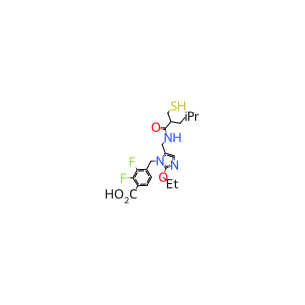 CCOc1ncc(CNC(=O)C(CS)CC(C)C)n1Cc1ccc(C(=O)O)c(F)c1F